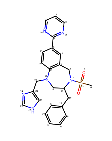 CS(=O)(=O)N1Cc2cc(-c3ncccn3)ccc2N(Cc2c[nH]cn2)CC1Cc1ccccc1